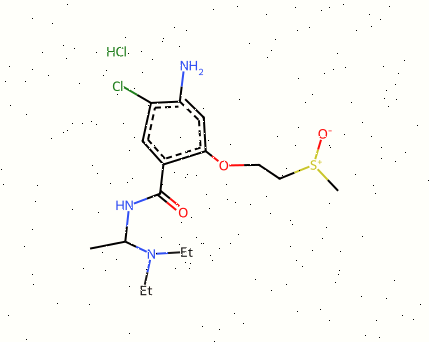 CCN(CC)C(C)NC(=O)c1cc(Cl)c(N)cc1OCC[S+](C)[O-].Cl